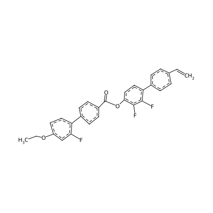 C=Cc1ccc(-c2ccc(OC(=O)c3ccc(-c4ccc(OCC)cc4F)cc3)c(F)c2F)cc1